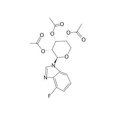 CC(=O)O[C@@H]1[C@H](OC(C)=O)[C@H](OC(C)=O)CO[C@H]1n1cnc2c(F)cccc21